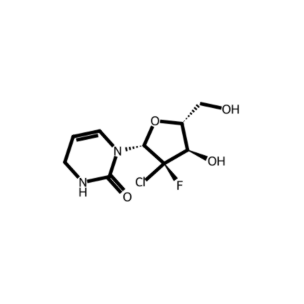 O=C1NCC=CN1[C@@H]1O[C@H](CO)[C@@H](O)[C@]1(F)Cl